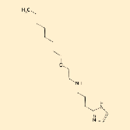 CCCCCCCCOCCNCCCc1ncc[nH]1